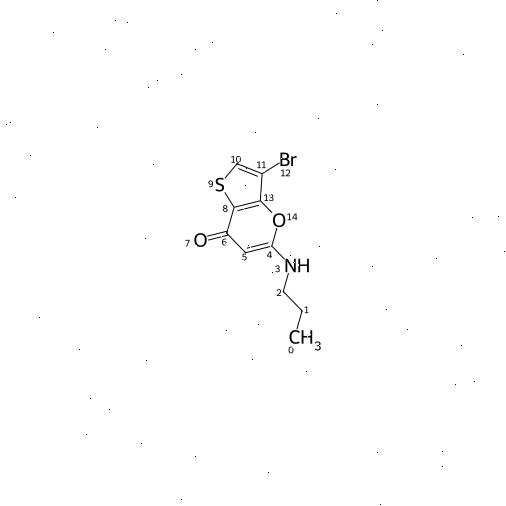 CCCNc1cc(=O)c2scc(Br)c2o1